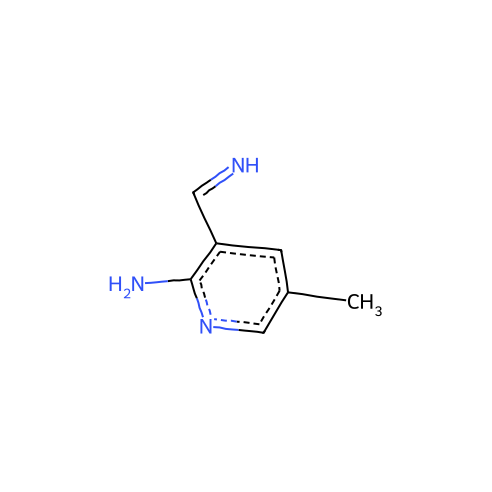 Cc1cnc(N)c(C=N)c1